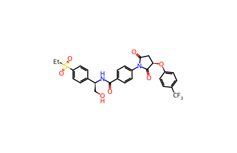 CCS(=O)(=O)c1ccc([C@H](CO)NC(=O)c2ccc(N3C(=O)C[C@@H](Oc4ccc(C(F)(F)F)cc4)C3=O)cc2)cc1